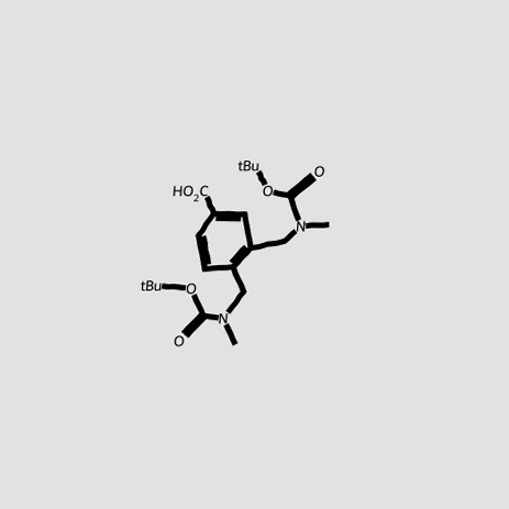 CN(Cc1ccc(C(=O)O)cc1CN(C)C(=O)OC(C)(C)C)C(=O)OC(C)(C)C